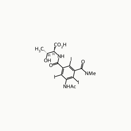 CNC(=O)c1c(I)c(NC(C)=O)c(I)c(C(=O)N[C@H](C(=O)O)[C@@H](C)O)c1I